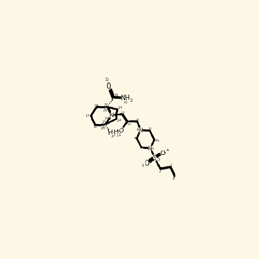 CCCS(=O)(=O)N1CCN(CC(O)CN2[C@@H]3C[CH]C[C@@]2(C(N)=O)CC3)CC1